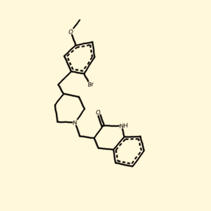 COc1ccc(Br)c(CC2CCN(CC3Cc4ccccc4NC3=O)CC2)c1